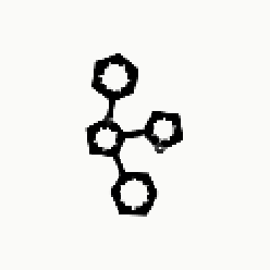 c1ccc(-c2ccn(-c3ccccc3)c2-c2ccco2)cc1